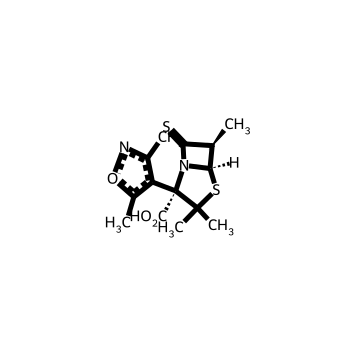 Cc1noc(C)c1[C@@]1(C(=O)O)N2C(=S)[C@@H](C)[C@H]2SC1(C)C